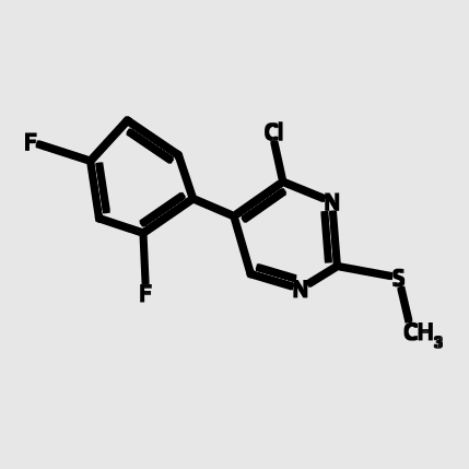 CSc1ncc(-c2ccc(F)cc2F)c(Cl)n1